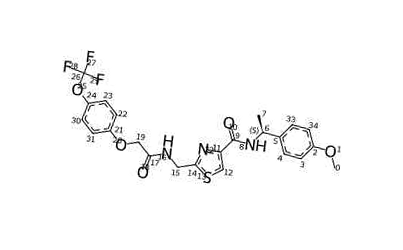 COc1ccc([C@H](C)NC(=O)c2csc(CNC(=O)COc3ccc(OC(F)(F)F)cc3)n2)cc1